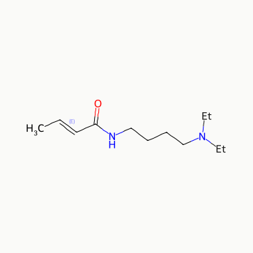 C/C=C/C(=O)NCCCCN(CC)CC